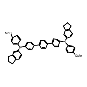 COc1ccc(N(c2ccc(-c3ccc(-c4ccc(N(c5ccc(OC)cc5)c5ccc6c(c5)CCC6)cc4)cc3)cc2)c2ccc3c(c2)CCC3)cc1